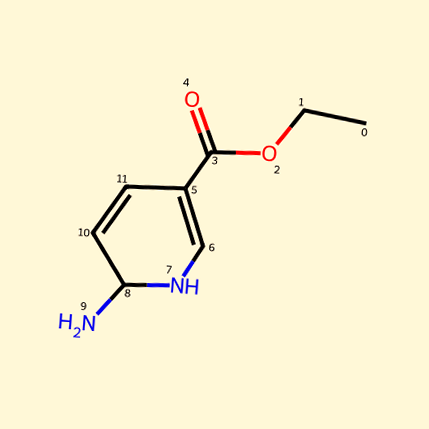 CCOC(=O)C1=CNC(N)C=C1